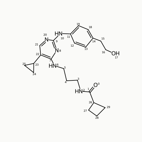 O=C(NCCCNc1nc(Nc2ccc(CCO)cc2)ncc1C1CC1)C1CCC1